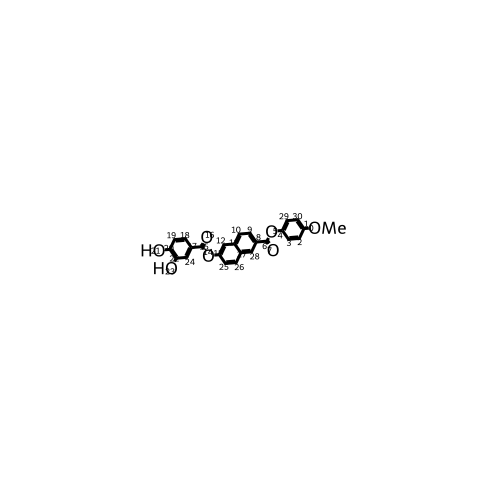 COc1ccc(OC(=O)c2ccc3cc(OC(=O)c4ccc(O)c(O)c4)ccc3c2)cc1